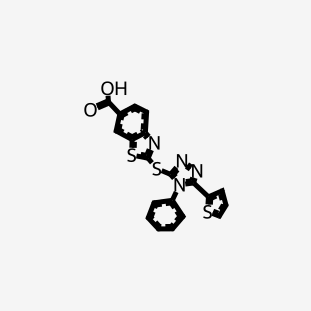 O=C(O)c1ccc2nc(Sc3nnc(-c4cccs4)n3-c3ccccc3)sc2c1